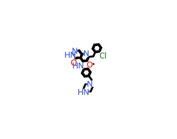 COc1cc(CN2CCNCC2)ccc1Nc1cc(Cc2ccccc2Cl)nc2cn[nH]c(=O)c12